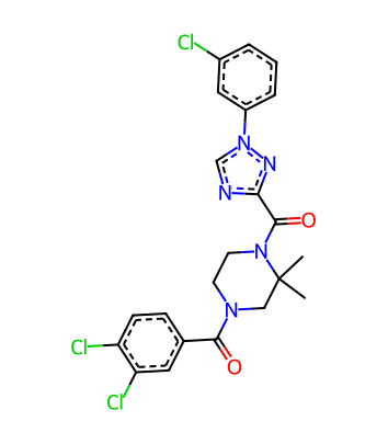 CC1(C)CN(C(=O)c2ccc(Cl)c(Cl)c2)CCN1C(=O)c1ncn(-c2cccc(Cl)c2)n1